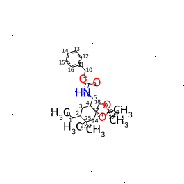 CCC1CC(CNC(=O)OCc2ccccc2)C2(COC(C)(C)O2)CC1(C)C